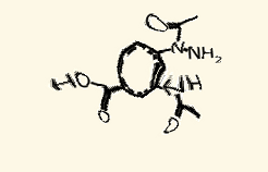 CC(=O)Nc1cc(C(=O)O)ccc1N(N)C(C)=O